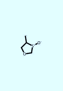 [CH2]C1COC[S+]1[O-]